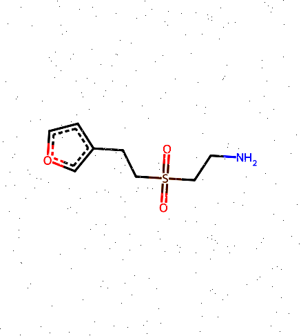 NCCS(=O)(=O)CCc1ccoc1